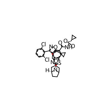 O=C(NS(=O)(=O)C1CC1)c1ccc2nc(N3C4CC[C@H]3CC(OCc3c(-c5c(Cl)cccc5Cl)noc3C3CC3)C4)sc2c1